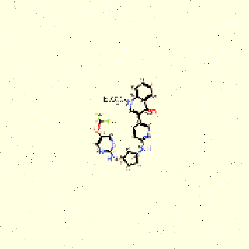 CCOC(=O)n1cc(-c2ccc(N[C@H]3CC[C@H](Nc4ncc(OC(F)F)cn4)C3)nc2)c(=O)c2ccccc21